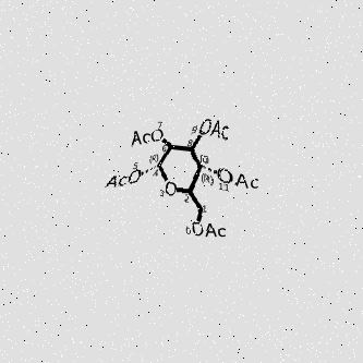 CC(=O)OCC1O[C@H](OC(C)=O)C(OC(C)=O)C(OC(C)=O)[C@@H]1OC(C)=O